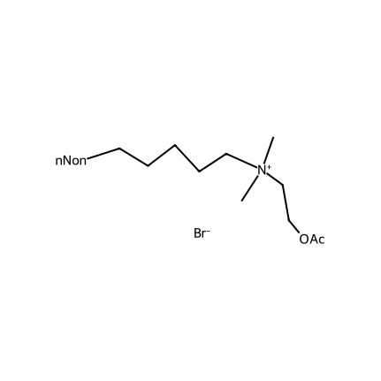 CCCCCCCCCCCCCC[N+](C)(C)CCOC(C)=O.[Br-]